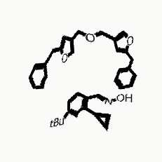 CC(C)(C)c1ccc(C=NO)c(C2CC2)c1.c1ccc(Cc2cc(COCc3coc(Cc4ccccc4)c3)co2)cc1